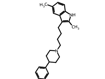 Cc1ccc2[nH]c(C)c(CCCCN3CCC(c4ccccc4)CC3)c2c1